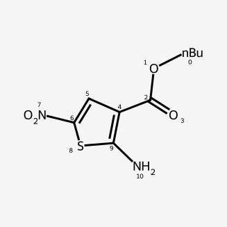 CCCCOC(=O)c1cc([N+](=O)[O-])sc1N